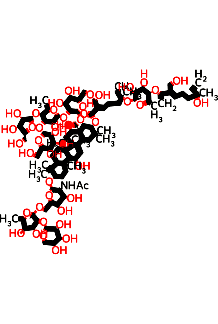 C=CC(C)(O)CC/C=C(\CO)C(=C)O[C@@H]1C(C)O[C@@H](O[C@](C)(C=C)CC/C=C(\CO)C(=O)O[C@H]2C[C@@]3(C(=O)O[C@@H]4OC(CO)[C@@H](O)[C@H](O)C4O[C@@H]4OC(C)[C@H](O[C@@H]5O[C@@H](CO)[C@H](O)[C@@H]5O)C(O[C@@H]5OC(CO)[C@@H](O)[C@H](O)C5O)[C@@H]4O)C(CC2(C)C)C2=C[C@@H](O)C4[C@@]5(C)CC[C@H](O[C@@H]6OC(CO[C@@H]7OC(C)[C@H](O)[C@H](O)C7O[C@@H]7OC[C@@H](O)[C@H](O)C7O)[C@@H](O)[C@H](O)C6NC(C)=O)C(C)(C)C5CC[C@@]4(C)[C@]2(C)C[C@H]3O)C(O)[C@H]1O